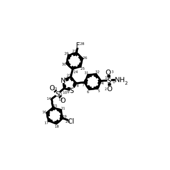 NS(=O)(=O)c1ccc(-c2sc(S(=O)(=O)Cc3cccc(Cl)c3)nc2-c2ccc(F)cc2)cc1